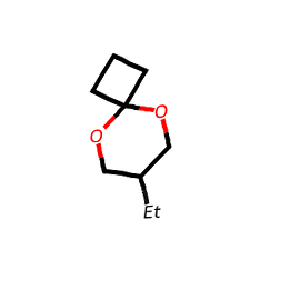 CCC1COC2(CCC2)OC1